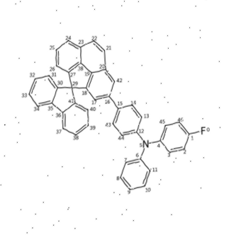 Fc1ccc(N(c2ccccc2)c2ccc(-c3cc4c5c(ccc6cccc(c65)C45c4ccccc4-c4ccccc45)c3)cc2)cc1